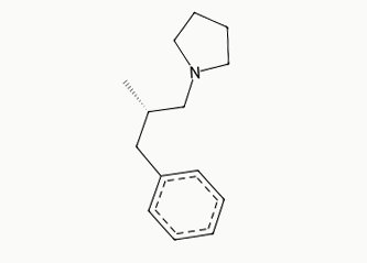 C[C@@H](Cc1ccccc1)CN1CCCC1